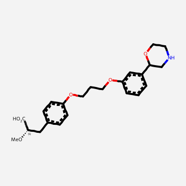 CO[C@@H](Cc1ccc(OCCCOc2cccc(C3CNCCO3)c2)cc1)C(=O)O